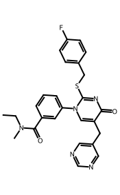 CCN(C)C(=O)c1cccc(-n2cc(Cc3cncnc3)c(=O)nc2SCc2ccc(F)cc2)c1